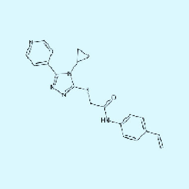 C=Cc1ccc(NC(=O)CSc2nnc(-c3ccncc3)n2C2CC2)cc1